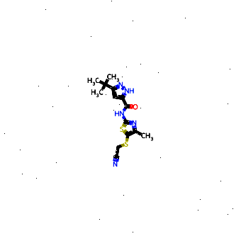 Cc1nc(NC(=O)c2cc(C(C)(C)C)n[nH]2)sc1SCC#N